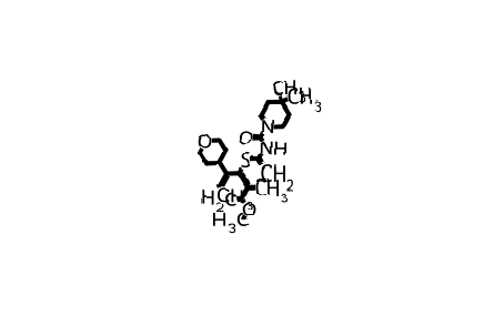 C=C(NC(=O)N1CCC(C)(C)CC1)SC(/C(=C\C)C1CCOCC1)=C(\C)C(=C)OC